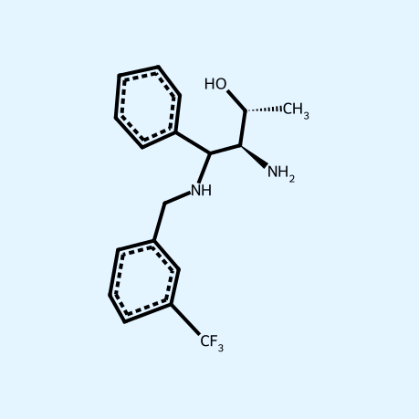 C[C@@H](O)[C@@H](N)C(NCc1cccc(C(F)(F)F)c1)c1ccccc1